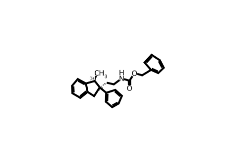 C[C@@H]1c2ccccc2C[C@]1(CCNC(=O)OCc1ccccc1)c1ccccc1